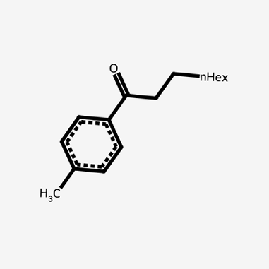 CCCCCCCCC(=O)c1ccc(C)cc1